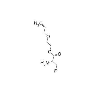 C=CCOCCOC(=O)C(N)CF